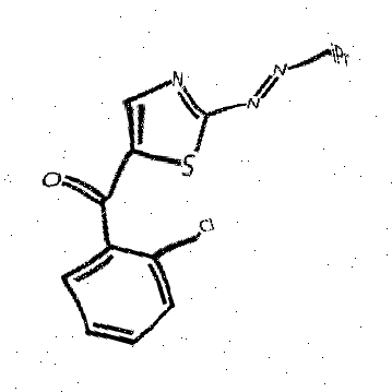 CC(C)/N=N/c1ncc(C(=O)c2ccccc2Cl)s1